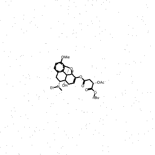 CCCCOC(=O)[C@H](CC(=O)OC1=CC[C@@]2(O)[C@H](N(C)CC)Cc3ccc(OC)c4c3[C@@]2(C)[C@H]1O4)OC(C)=O